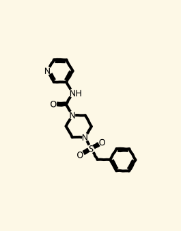 O=C(Nc1cccnc1)N1CCN(S(=O)(=O)Cc2ccccc2)CC1